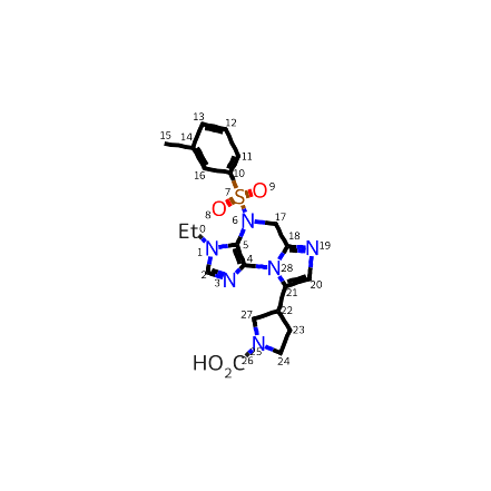 CCn1cnc2c1N(S(=O)(=O)c1cccc(C)c1)Cc1ncc(C3CCN(C(=O)O)C3)n1-2